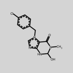 CN1C(=O)c2c(ncn2Cc2ccc(Cl)cc2)NC1O